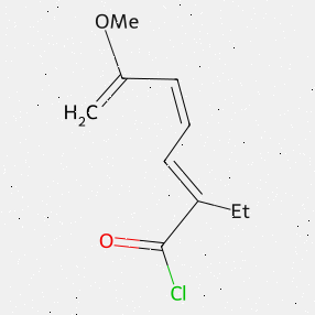 C=C(/C=C\C=C(/CC)C(=O)Cl)OC